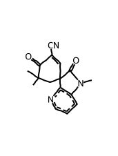 CN1C(=O)C2(C=C(C#N)C(=O)C(C)(C)C2)c2ncccc21